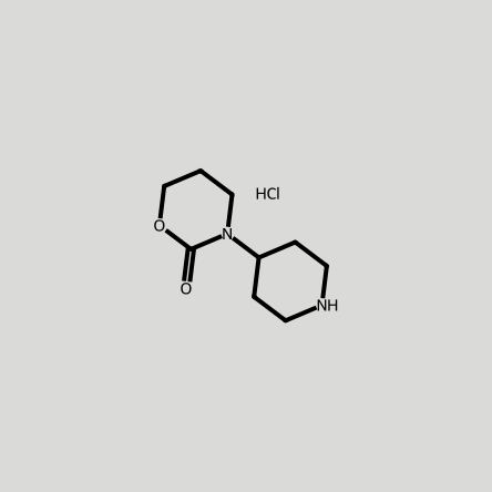 Cl.O=C1OCCCN1C1CCNCC1